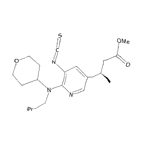 COC(=O)C[C@@H](C)c1cnc(N(CC(C)C)C2CCOCC2)c(N=C=S)c1